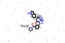 COC[C@H]1CCCN1C(=O)c1cccc(CN2C(=N)NC(C)(c3ccc4[nH]ccc4c3)CC2=O)c1